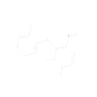 O=C(Cl)c1ccc(F)c(F)c1Nc1ccccc1F